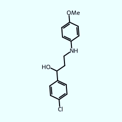 COc1ccc(NCCC(O)c2ccc(Cl)cc2)cc1